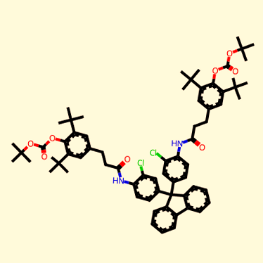 CC(C)(C)OC(=O)Oc1c(C(C)(C)C)cc(CCC(=O)Nc2ccc(C3(c4ccc(NC(=O)CCc5cc(C(C)(C)C)c(OC(=O)OC(C)(C)C)c(C(C)(C)C)c5)c(Cl)c4)c4ccccc4-c4ccccc43)cc2Cl)cc1C(C)(C)C